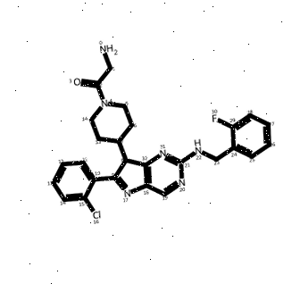 NCC(=O)N1CCC(C2C(c3ccccc3Cl)=Nc3cnc(NCc4ccccc4F)nc32)CC1